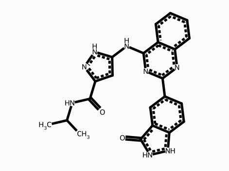 CC(C)NC(=O)c1cc(Nc2nc(-c3ccc4[nH][nH]c(=O)c4c3)nc3ccccc23)[nH]n1